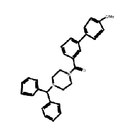 COc1ccc(-c2cccc(C(=O)N3CCN(C(c4ccccc4)c4ccccc4)CC3)c2)cc1